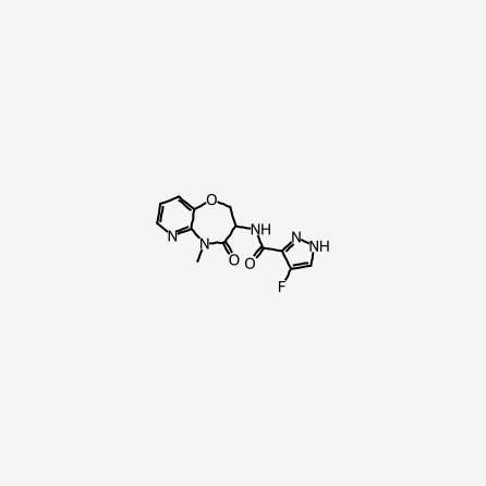 CN1C(=O)C(NC(=O)c2n[nH]cc2F)COc2cccnc21